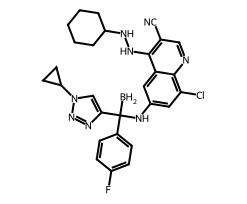 BC(Nc1cc(Cl)c2ncc(C#N)c(NNC3CCCCC3)c2c1)(c1ccc(F)cc1)c1cn(C2CC2)nn1